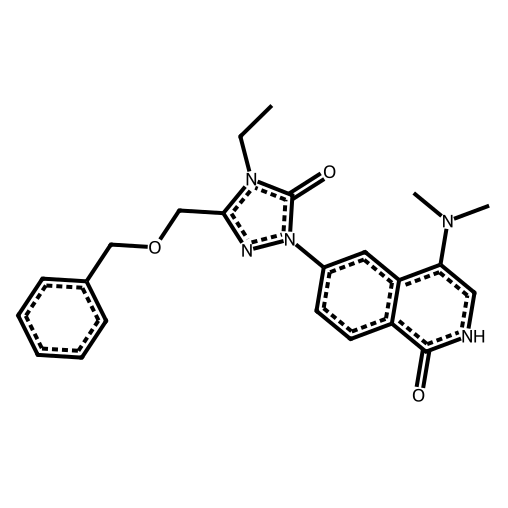 CCn1c(COCc2ccccc2)nn(-c2ccc3c(=O)[nH]cc(N(C)C)c3c2)c1=O